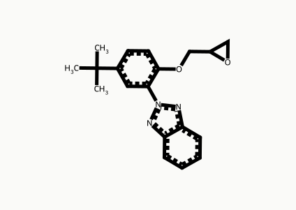 CC(C)(C)c1ccc(OCC2CO2)c(-n2nc3ccccc3n2)c1